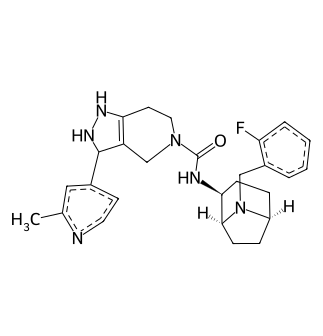 Cc1cc(C2NNC3=C2CN(C(=O)N[C@H]2CC[C@H]4CC[C@@H]2N4Cc2ccccc2F)CC3)ccn1